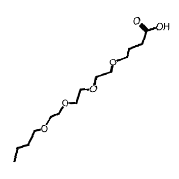 CCCCOCCOCCOCCOCCCC(=O)O